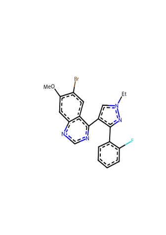 CCn1cc(-c2ncnc3cc(OC)c(Br)cc23)c(-c2ccccc2F)n1